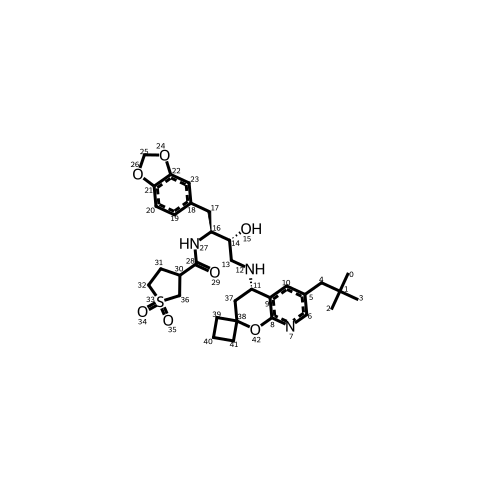 CC(C)(C)Cc1cnc2c(c1)[C@@H](NC[C@@H](O)[C@H](Cc1ccc3c(c1)OCO3)NC(=O)C1CCS(=O)(=O)C1)CC1(CCC1)O2